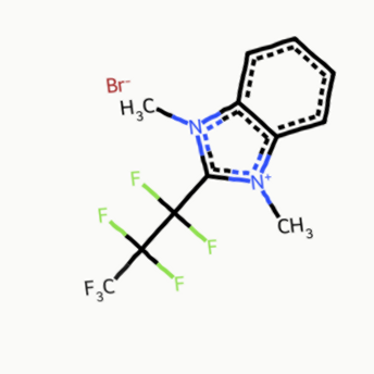 Cn1c(C(F)(F)C(F)(F)C(F)(F)F)[n+](C)c2ccccc21.[Br-]